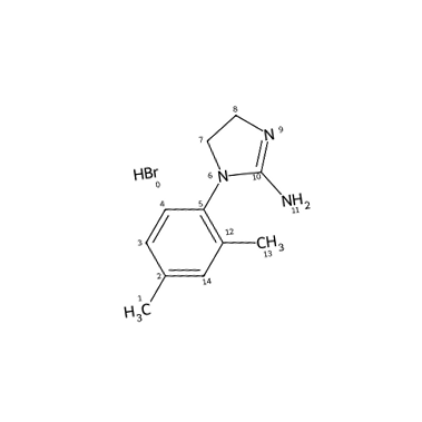 Br.Cc1ccc(N2CCN=C2N)c(C)c1